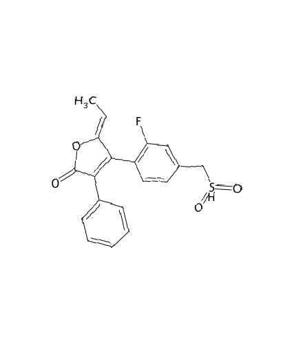 CC=C1OC(=O)C(c2ccccc2)=C1c1ccc(C[SH](=O)=O)cc1F